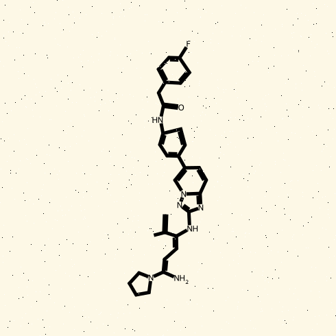 C=C(C)/C(=C\C=C(/N)N1CCCC1)Nc1nc2ccc(-c3ccc(NC(=O)Cc4ccc(F)cc4)cc3)cn2n1